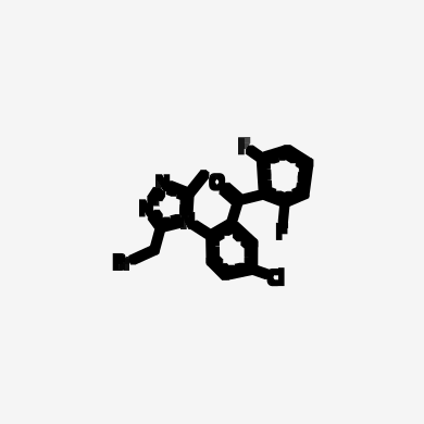 Cc1nnc(CBr)n1-c1ccc(Cl)cc1C(=O)c1c(F)cccc1F